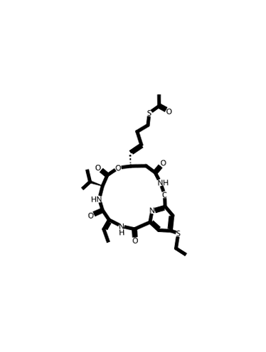 C/C=C1\NC(=O)c2cc(SCC)cc(n2)CNC(=O)C[C@@H](/C=C/CCSC(C)=O)OC(=O)[C@H](C(C)C)NC1=O